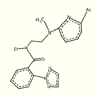 CCN(CCN(C)c1cccc(C(C)=O)n1)C(=O)c1ccccc1-n1nccn1